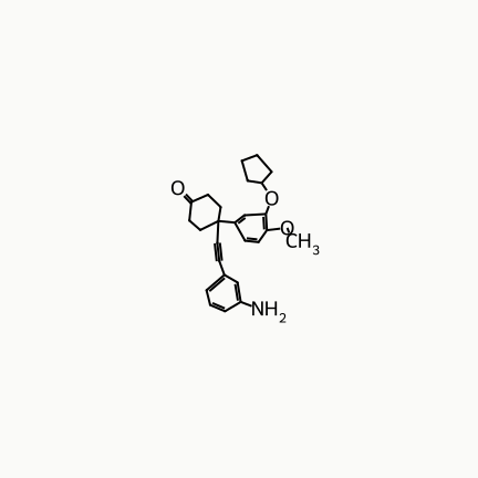 COc1ccc(C2(C#Cc3cccc(N)c3)CCC(=O)CC2)cc1OC1CCCC1